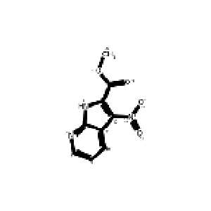 COC(=O)c1[nH]c2ncccc2c1[N+](=O)[O-]